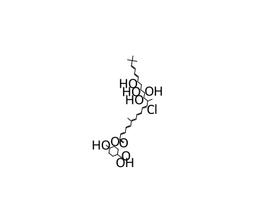 CC(/C=C/C=C/C(=O)OC1CC(C(=O)O)CCC1O)=C\C=C\C=C(/Cl)C(C)C(O)C(O)C(O)CC(O)/C=C/C=C/C(C)(C)C